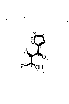 CCC(O)C(=O)C(=O)c1ccco1